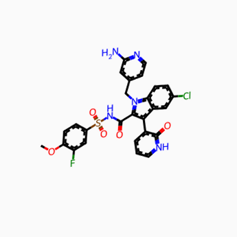 COc1ccc(S(=O)(=O)NC(=O)c2c(-c3ccc[nH]c3=O)c3cc(Cl)ccc3n2Cc2ccnc(N)c2)cc1F